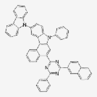 c1ccc(-c2nc(-c3ccc4ccccc4c3)nc(-c3cc4c(c5ccccc35)c3cc(-n5c6ccccc6c6ccccc65)ccc3n4-c3ccccc3)n2)cc1